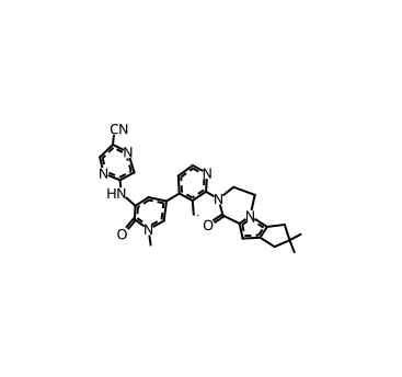 [CH2]c1c(-c2cc(Nc3cnc(C#N)cn3)c(=O)n(C)c2)ccnc1N1CCn2c(cc3c2CC(C)(C)C3)C1=O